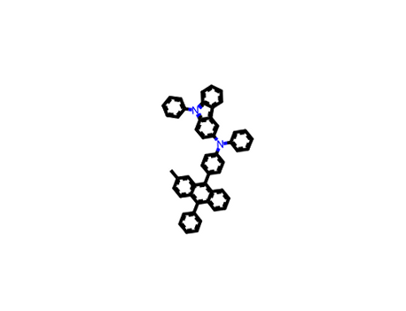 Cc1ccc2c(-c3ccccc3)c3ccccc3c(-c3ccc(N(c4ccccc4)c4ccc5c(c4)c4ccccc4n5-c4ccccc4)cc3)c2c1